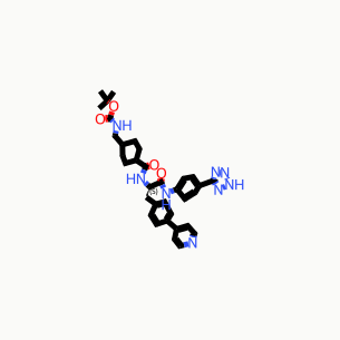 CC(C)(C)OC(=O)NCC1CCC(C(=O)N[C@@H](Cc2ccc(-c3ccncc3)cc2)C(=O)Nc2ccc(-c3nn[nH]n3)cc2)CC1